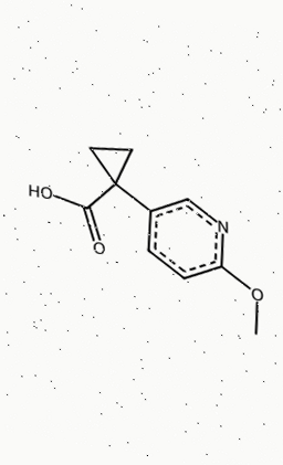 COc1ccc(C2(C(=O)O)CC2)cn1